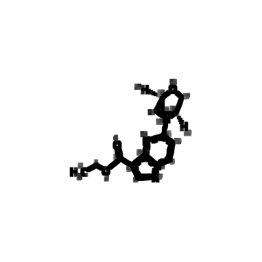 CCOC(=O)c1cnn2ccc(N3C[C@@H]4C[C@H]3CO4)nc12